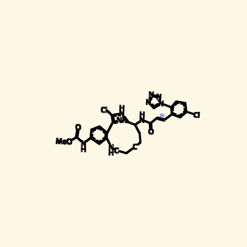 COC(=O)Nc1ccc2c(c1)NCCCCCC(NC(=O)/C=C/c1cc(Cl)ccc1-n1cnnn1)c1nc-2c(Cl)[nH]1